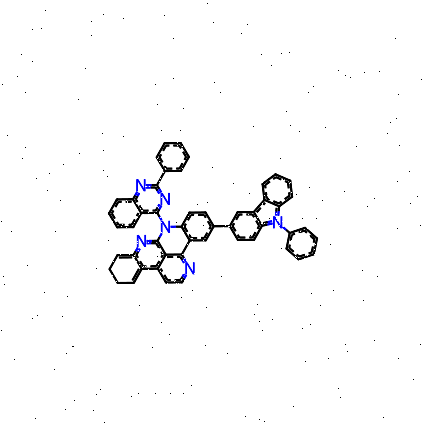 C1=c2nc3c4c(nccc4c2=CCC1)-c1cc(-c2ccc4c(c2)c2ccccc2n4-c2ccccc2)ccc1N3c1nc(-c2ccccc2)nc2ccccc12